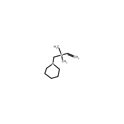 C=C[Si](C)(C)CN1CCCCC1